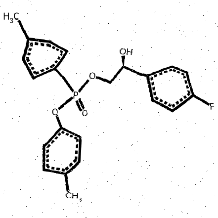 Cc1ccc(OP(=O)(OC[C@@H](O)c2ccc(F)cc2)c2ccc(C)cc2)cc1